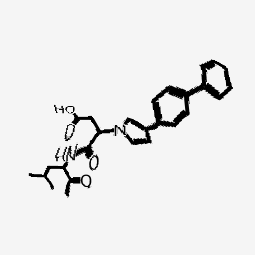 CC(=O)C(CC(C)C)NC(=O)C(CC(=O)O)n1ccc(-c2ccc(-c3ccccc3)cc2)c1